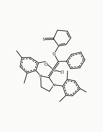 Cc1cc(C)c(N2CCN(c3c(C)cc(C)cc3C)[C]2=[Ru]([Cl])([Cl])=[C](OC2=CC=CCC2=S)c2ccccc2)c(C)c1